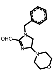 O=CC1=NC(N2CCOCC2)CN1Cc1ccccc1